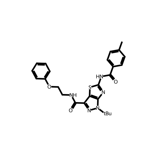 Cc1ccc(C(=O)Nc2nc3c(s2)c(C(=O)NCCOc2ccccc2)nn3C(C)(C)C)cc1